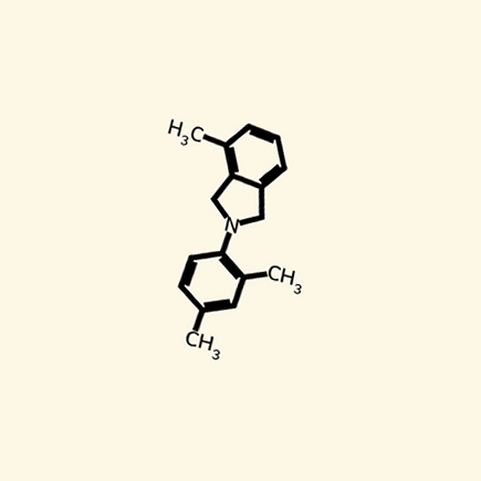 Cc1ccc(N2Cc3cccc(C)c3C2)c(C)c1